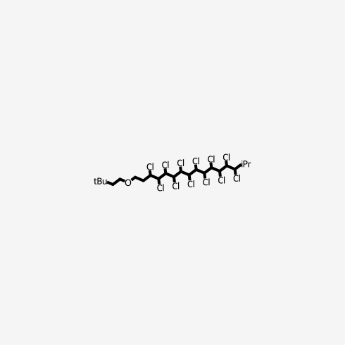 CC(C)C(Cl)C(Cl)C(Cl)C(Cl)C(Cl)C(Cl)C(Cl)C(Cl)C(Cl)C(Cl)C(Cl)C(Cl)CCOCCC(C)(C)C